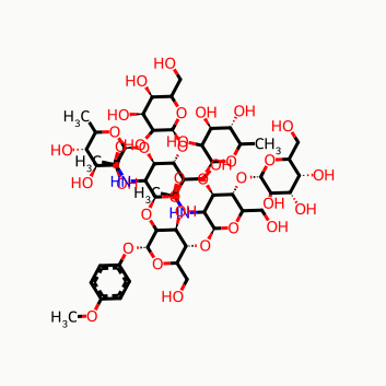 COc1ccc(O[C@H]2OC(CO)[C@@H](O[C@@H]3OC(CO)[C@@H](O[C@@H]4OC(CO)[C@H](O)[C@H](O)C4O)[C@H](O[C@@H]4OC(C)[C@@H](O)[C@H](O)C4O)C3NC(C)=O)[C@H](O)C2O[C@@H]2OC(CO)[C@@H](O[C@@H]3OC(CO)[C@H](O)[C@H](O)C3O)[C@H](O[C@@H]3OC(C)[C@@H](O)[C@H](O)C3O)C2NC(C)=O)cc1